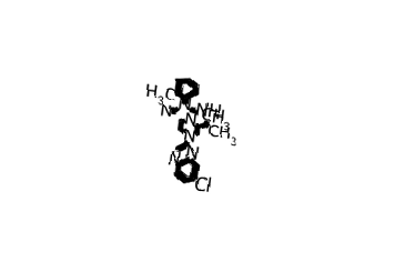 Cc1ccccc1N(C#N)C(=N)N1CCN(c2cnc3ccc(Cl)cc3n2)CC1C(C)C